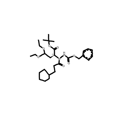 CCOC(C[C@@H](C(=O)OC(C)(C)C)N(NC(=O)OCc1ccccc1)C(=O)CCC1CCCCC1)OCC